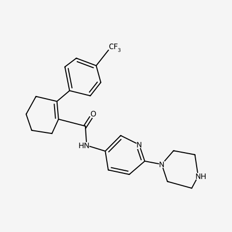 O=C(Nc1ccc(N2CCNCC2)nc1)C1=C(c2ccc(C(F)(F)F)cc2)CCCC1